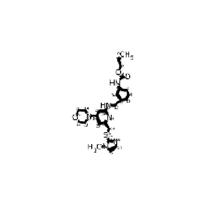 C=CCOC(=O)Nc1cccc(CNc2cc(N3CCOCC3)cc(CSc3nccn3C)n2)c1